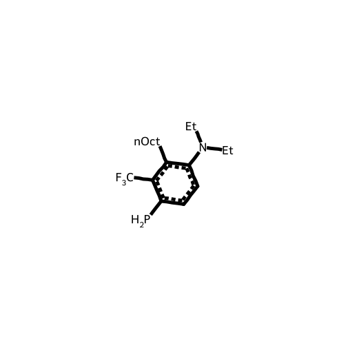 CCCCCCCCc1c(N(CC)CC)ccc(P)c1C(F)(F)F